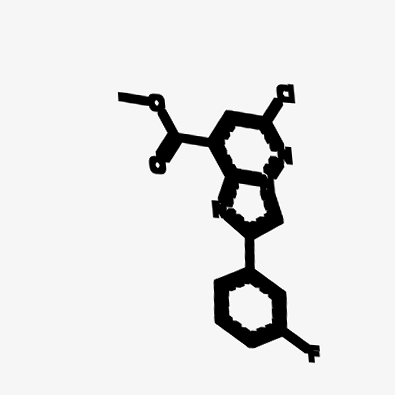 COC(=O)c1cc(Cl)nn2cc(-c3cccc(F)c3)nc12